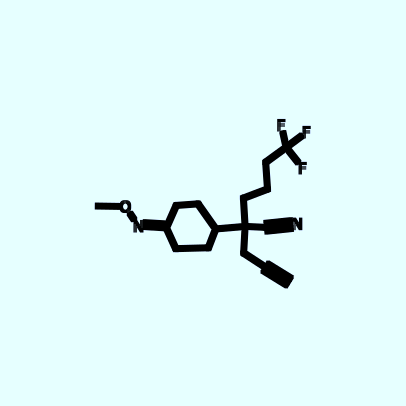 C#CCC(C#N)(CCCC(F)(F)F)C1CCC(=NOC)CC1